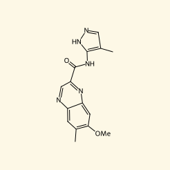 COc1cc2nc(C(=O)Nc3[nH]ncc3C)cnc2cc1C